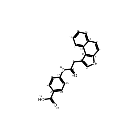 O=C(Cc1coc2ccc3ccccc3c12)Oc1ccc(C(=O)O)cc1